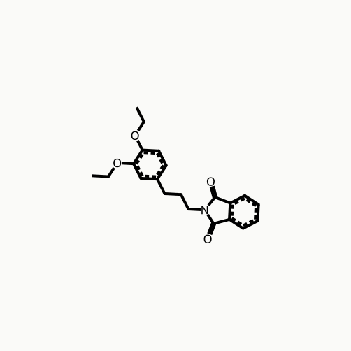 CCOc1ccc(CCCN2C(=O)c3ccccc3C2=O)cc1OCC